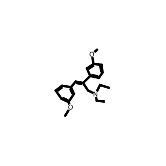 CCN(CC)CC(=Cc1cccc(OC)c1)c1cccc(OC)c1